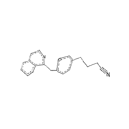 N#CCCCc1ccc(Cc2nccc3ccccc23)cc1